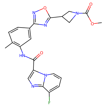 COC(=O)N1CC(c2nc(-c3ccc(C)c(NC(=O)c4cnc5c(F)cccn45)c3)no2)C1